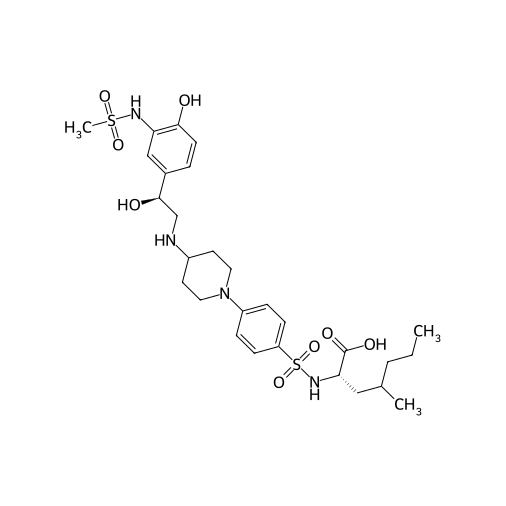 CCCC(C)C[C@H](NS(=O)(=O)c1ccc(N2CCC(NC[C@@H](O)c3ccc(O)c(NS(C)(=O)=O)c3)CC2)cc1)C(=O)O